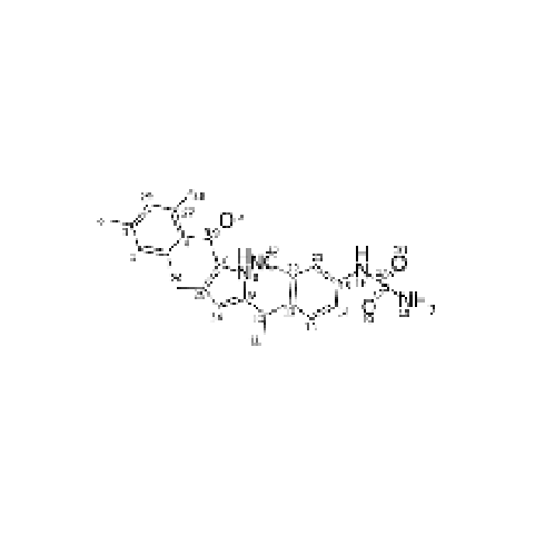 Cc1ccc(C(=O)c2[nH]c(C(C)c3ccc(NS(N)(=O)=O)cc3C#N)cc2C)c(C)c1